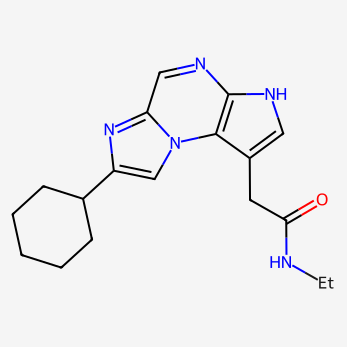 CCNC(=O)Cc1c[nH]c2ncc3nc(C4CCCCC4)cn3c12